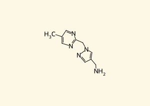 Cc1cnc(Cn2cc(CN)cn2)nc1